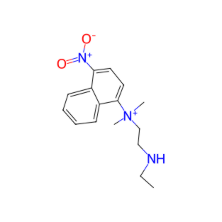 CCNCC[N+](C)(C)c1ccc([N+](=O)[O-])c2ccccc12